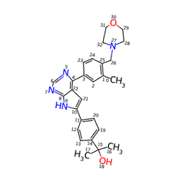 Cc1cc(-c2ncnc3[nH]c(-c4ccc(C(C)(C)O)cc4)cc23)ccc1CN1CCOCC1